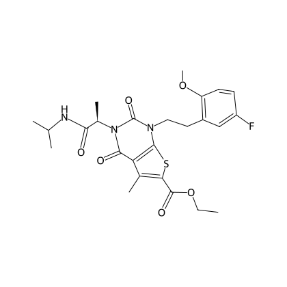 CCOC(=O)c1sc2c(c1C)c(=O)n([C@H](C)C(=O)NC(C)C)c(=O)n2CCc1cc(F)ccc1OC